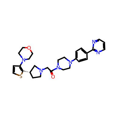 O=C(CN1CC[C@H](c2sccc2N2CCOCC2)C1)N1CCN(c2ccc(-c3ncccn3)cc2)CC1